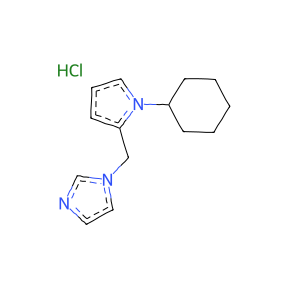 Cl.c1cc(Cn2ccnc2)n(C2CCCCC2)c1